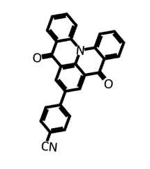 N#Cc1ccc(-c2cc3c(=O)c4ccccc4n4c5ccccc5c(=O)c(c2)c34)cc1